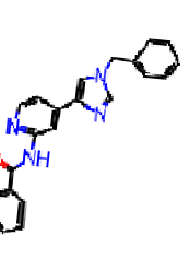 O=C(Nc1cc(-c2cn(Cc3ccccc3)cn2)ccn1)c1ccccc1